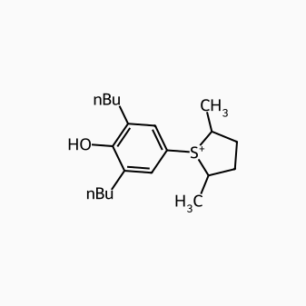 CCCCc1cc([S+]2C(C)CCC2C)cc(CCCC)c1O